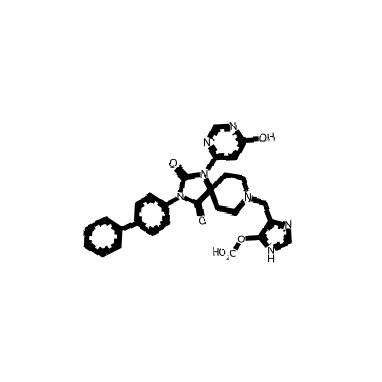 O=C(O)Oc1[nH]cnc1CN1CCC2(CC1)C(=O)N(c1ccc(-c3ccccc3)cc1)C(=O)N2c1cc(O)ncn1